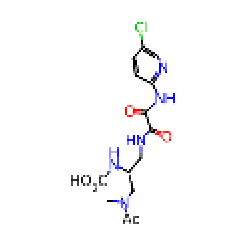 CC(=O)N(C)C[C@H](CNC(=O)C(=O)Nc1ccc(Cl)cn1)NC(=O)O